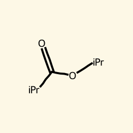 CC(C)OC(=O)C(C)C